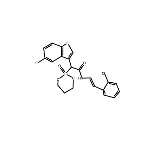 O=C(NC=Cc1ccccc1Cl)C(c1csc2ccc(Cl)cc12)P1(=O)OCCCO1